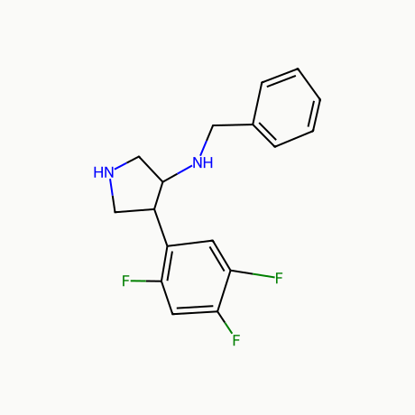 Fc1cc(F)c(C2CNCC2NCc2ccccc2)cc1F